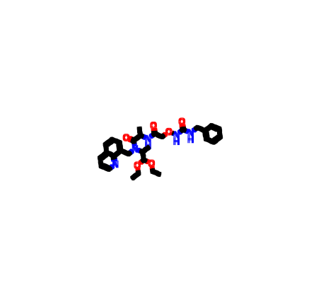 CCOC(OCC)C(C)N(Cc1cccc2cccnc12)C(=O)C(C)NC(=O)CONC(=O)NCc1ccccc1